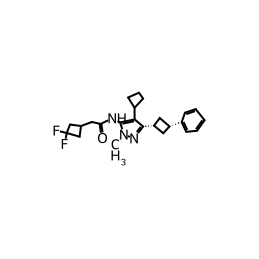 Cn1nc([C@H]2C[C@@H](c3ccccc3)C2)c(C2CCC2)c1NC(=O)CC1CC(F)(F)C1